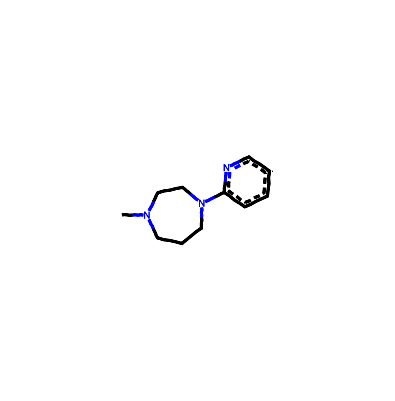 CN1CCCN(c2cc[c]cn2)CC1